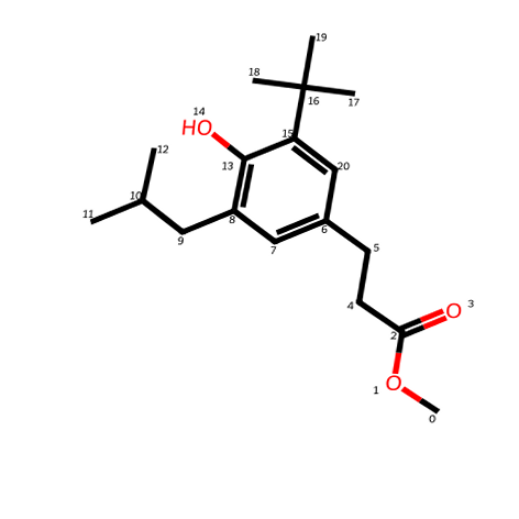 COC(=O)CCc1cc(CC(C)C)c(O)c(C(C)(C)C)c1